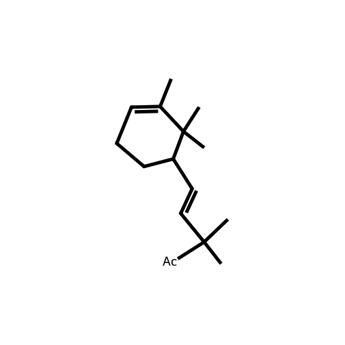 CC(=O)C(C)(C)C=CC1CCC=C(C)C1(C)C